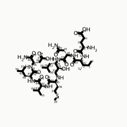 CC[C@H](C)[C@H](NC(=O)[C@@H](N)CCC(=O)O)C(=O)N[C@@H](CC(N)=O)C(=O)N[C@@H](CC(C)C)[C@@H](O)CN[C@@H](CCSC)C(=O)N[C@H](C(=O)N[C@@H](CC(C)C)C(=O)N[C@@H](CC(=O)O)C(N)=O)C(C)C